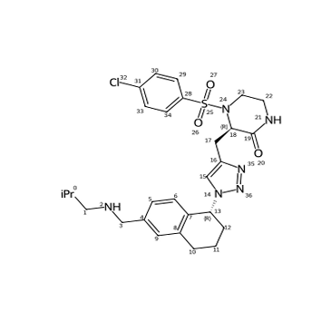 CC(C)CNCc1ccc2c(c1)CCC[C@H]2n1cc(C[C@@H]2C(=O)NCCN2S(=O)(=O)c2ccc(Cl)cc2)nn1